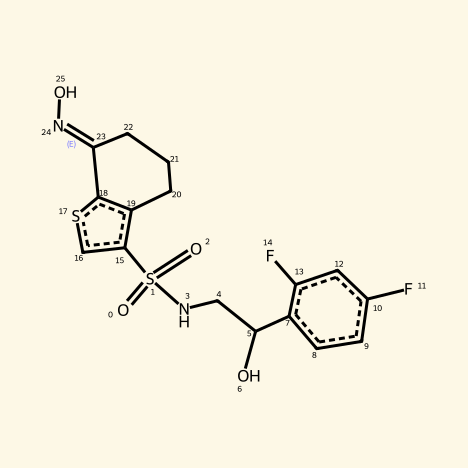 O=S(=O)(NCC(O)c1ccc(F)cc1F)c1csc2c1CCC/C2=N\O